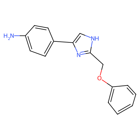 Nc1ccc(-c2c[nH]c(COc3ccccc3)n2)cc1